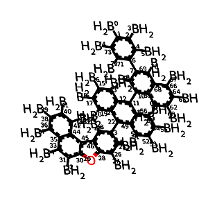 Bc1c(B)c(B)c(-c2c(B)c(-c3c4c(B)c(B)c(B)c(B)c4c(-c4c(B)c(B)c5oc6c(B)c(B)c7c(B)c(B)c(B)c(B)c7c6c5c4B)c4c(B)c(B)c(B)c(B)c34)c3c(B)c(B)c(B)c(B)c3c2B)c(B)c1B